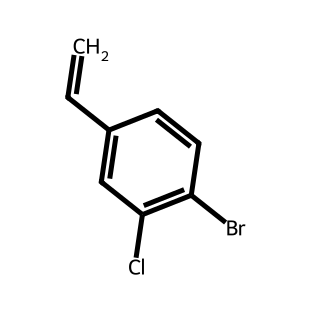 C=Cc1ccc(Br)c(Cl)c1